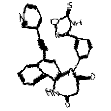 O=C1CC(=O)N(c2cccc(-c3noc(=S)[nH]3)c2)c2cc(C#Cc3cccnc3)c3ccccc3c2N1